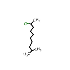 CC(C)CCCCCCC(C)Cl